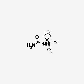 COC(=O)C1(NC(N)=O)COC1